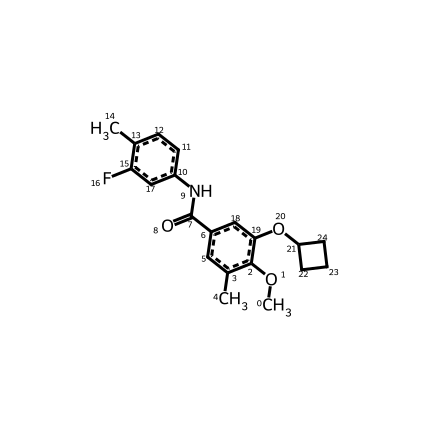 COc1c(C)cc(C(=O)Nc2ccc(C)c(F)c2)cc1OC1CCC1